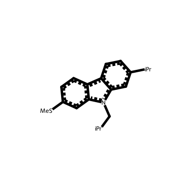 CSc1ccc2c3ccc(C(C)C)cc3n(CC(C)C)c2c1